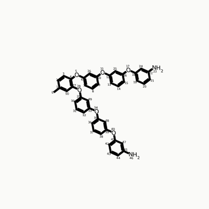 Cc1ccc(Oc2cccc(Oc3cccc(Oc4cccc(N)c4)c3)c2)c(Oc2cccc(Oc3cccc(Oc4cccc(N)c4)c3)c2)c1